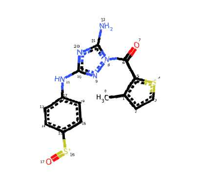 Cc1ccsc1C(=O)n1nc(Nc2ccc([S+]=O)cc2)nc1N